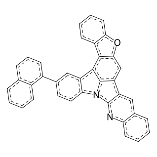 c1ccc2nc3c(cc2c1)c1cc2oc4ccccc4c2c2c4cc(-c5cccc6ccccc56)ccc4n3c12